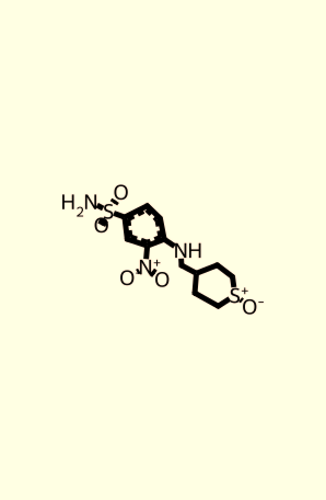 NS(=O)(=O)c1ccc(NCC2CC[S+]([O-])CC2)c([N+](=O)[O-])c1